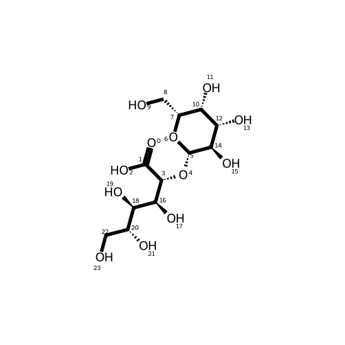 O=C(O)[C@H](O[C@@H]1O[C@H](CO)[C@H](O)[C@H](O)[C@H]1O)[C@@H](O)[C@H](O)[C@H](O)CO